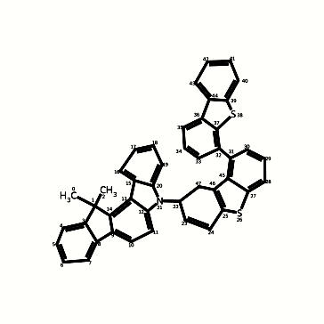 CC1(C)c2ccccc2-c2ccc3c(c21)c1ccccc1n3C1C=Cc2sc3cccc(-c4cccc5c4sc4ccccc45)c3c2C1